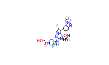 [2H]C([2H])([2H])Oc1nc(N[C@@H]2CCN(C(=O)CO)CC2(F)F)nn2cc(F)c(-c3ccc4nnn(CC(F)(F)F)c4c3)c12